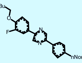 CCCCCCCCCc1ccc(-c2cnc(-c3ccc(OCC(C)CC)c(F)c3)cn2)cc1